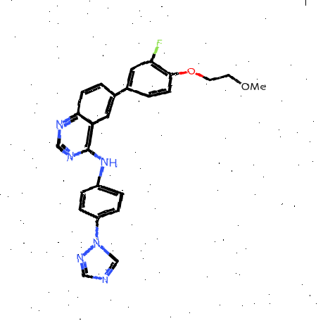 COCCOc1ccc(-c2ccc3ncnc(Nc4ccc(-n5cncn5)cc4)c3c2)cc1F